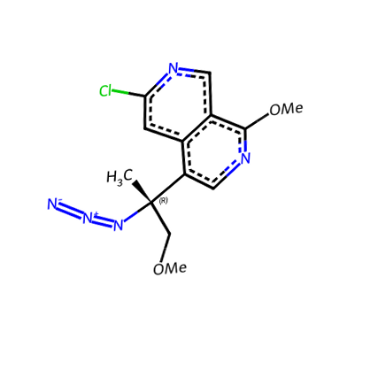 COC[C@](C)(N=[N+]=[N-])c1cnc(OC)c2cnc(Cl)cc12